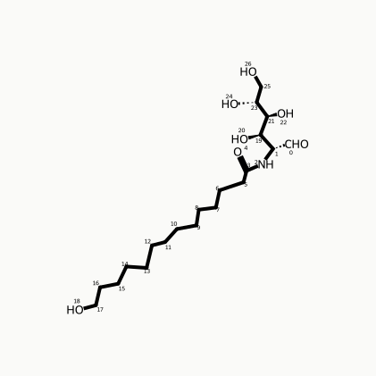 O=C[C@H](NC(=O)CCCCCCCCCCCCCO)[C@@H](O)[C@H](O)[C@H](O)CO